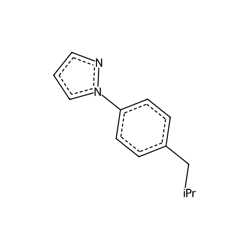 CC(C)Cc1ccc(-n2cccn2)cc1